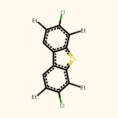 CCc1cc2c(sc3c(CC)c(Cl)c(CC)cc32)c(CC)c1Cl